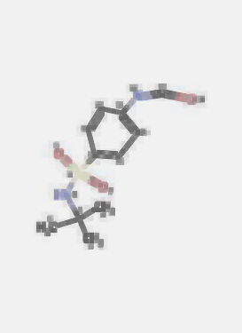 CC(C)(C)NS(=O)(=O)c1ccc(N=C=O)cc1